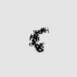 CCOc1cc(C(=O)N2C[C@@H]3[C@H](C2)[C@H]2CN(C(=O)c4ccc5[nH]nnc5c4)C[C@@H]32)cc2ccccc12